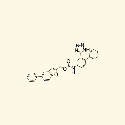 O=C(Nc1ccc(-c2ccccc2)c(-c2nnn[nH]2)c1)OCc1cc2cc(-c3ccccc3)ccc2o1